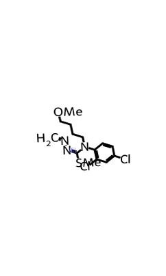 C=N/N=C(/SC)N(CCCCOC)c1ccc(Cl)cc1Cl